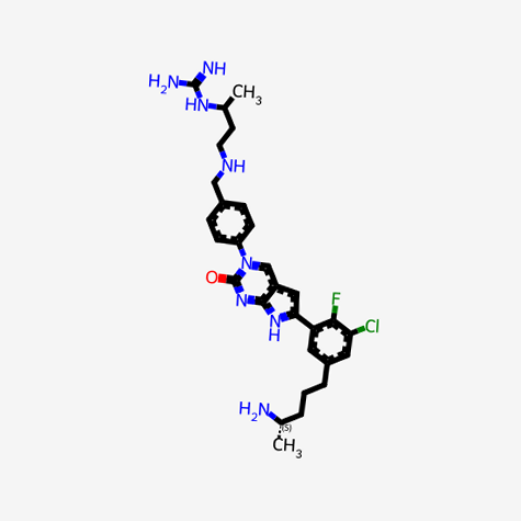 CC(CCNCc1ccc(-n2cc3cc(-c4cc(CCC[C@H](C)N)cc(Cl)c4F)[nH]c3nc2=O)cc1)NC(=N)N